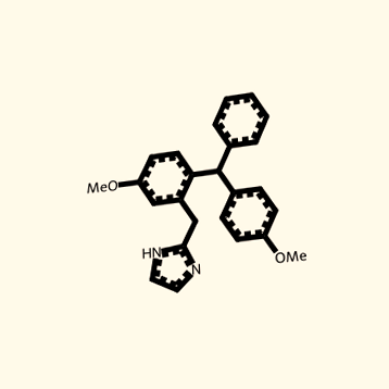 COc1ccc([C](c2ccccc2)c2ccc(OC)cc2Cc2ncc[nH]2)cc1